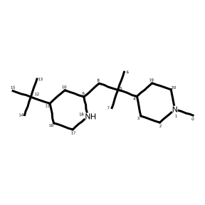 CN1CCC(C(C)(C)CC2CC(C(C)(C)C)CCN2)CC1